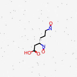 O=NCCC[C@@H](CC(=O)O)N=O